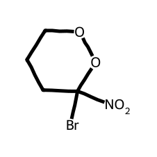 O=[N+]([O-])C1(Br)CCCOO1